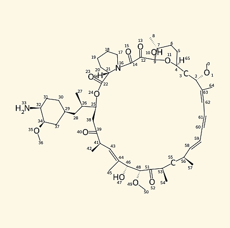 CO[C@H]1C[C@@H]2CC[C@@H](C)[C@@](O)(O2)C(=O)C(=O)N2CCCC[C@H]2C(=O)O[C@H]([C@H](C)C[C@@H]2CC[C@H](N)[C@H](OC)C2)CC(=O)[C@H](C)/C=C(\C)[C@@H](O)[C@@H](OC)C(=O)[C@H](C)C[C@H](C)/C=C/C=C/C=C/1C